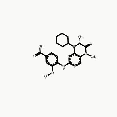 COc1cc(C(=O)O)ccc1Nc1ncc2c(n1)N(C1CCCCC1)[C@H](C)C(=O)N2C